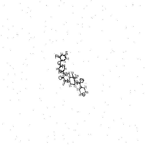 C[C@@H](C(=O)Nc1cnc(Oc2ccc(F)cc2F)cn1)N1CCN(C(=O)C2CCOCC2)C(C)(C)C1